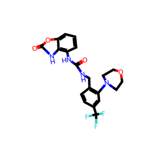 O=C(NCc1ccc(C(F)(F)F)cc1N1CCOCC1)Nc1cccc2oc(=O)[nH]c12